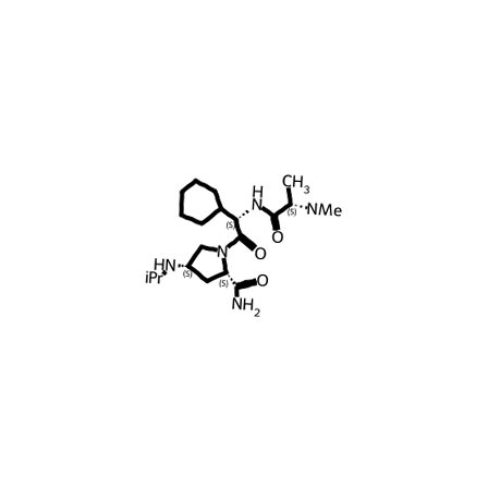 CN[C@@H](C)C(=O)N[C@H](C(=O)N1C[C@@H](NC(C)C)C[C@H]1C(N)=O)C1CCCCC1